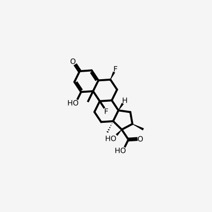 C[C@@H]1C[C@H]2C3C[C@H](F)C4=CC(=O)C=C(O)C4(C)C3(F)CC[C@]2(C)[C@@]1(O)C(=O)O